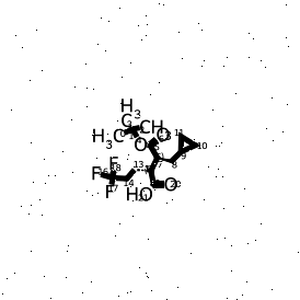 CC(C)(C)OC(=O)[C@@H](CC1CC1)[C@@H](CCC(F)(F)F)C(=O)O